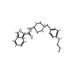 CCCOc1ccc(CN2CCC(NC(=O)c3occ4ccccc34)CC2)cc1